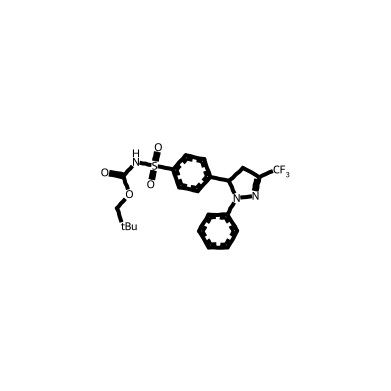 CC(C)(C)COC(=O)NS(=O)(=O)c1ccc(C2CC(C(F)(F)F)=NN2c2ccccc2)cc1